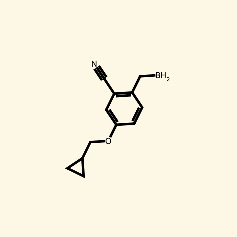 BCc1ccc(OCC2CC2)cc1C#N